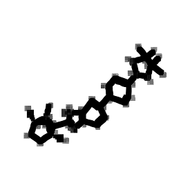 CN1C(c2nc3ccc(-c4ccc(B5OC(C)(C)C(C)(C)O5)cc4)cc3[nH]2)[C@H]2CC[C@@H]1C2